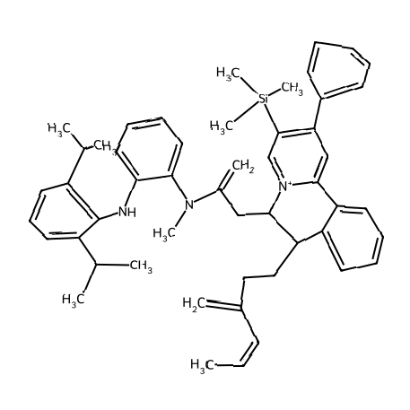 C=C(/C=C\C)CCC1c2ccccc2-c2cc(-c3ccccc3)c([Si](C)(C)C)c[n+]2C1CC(=C)N(C)c1ccccc1Nc1c(C(C)C)cccc1C(C)C